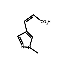 Cn1cc(/C=C\C(=O)O)cn1